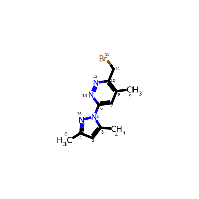 Cc1cc(C)n(-c2cc(C)c(CBr)nn2)n1